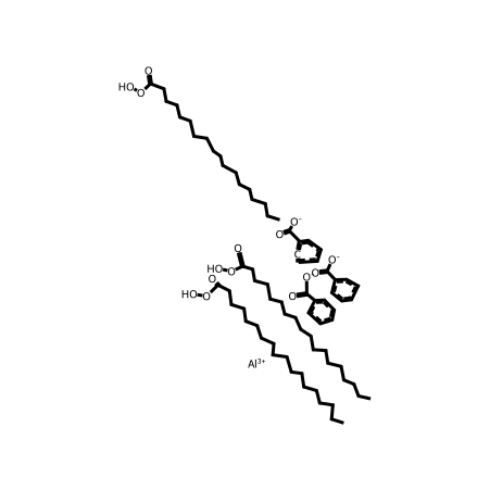 CCCCCCCCCCCCCCCCCC(=O)OO.CCCCCCCCCCCCCCCCCC(=O)OO.CCCCCCCCCCCCCCCCCC(=O)OO.O=C([O-])c1ccccc1.O=C([O-])c1ccccc1.O=C([O-])c1ccccc1.[Al+3]